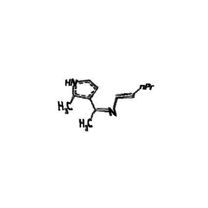 CCC/C=C/N=C(/C)c1cc[nH]c1C